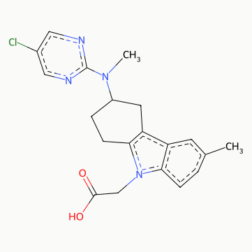 Cc1ccc2c(c1)c1c(n2CC(=O)O)CCC(N(C)c2ncc(Cl)cn2)C1